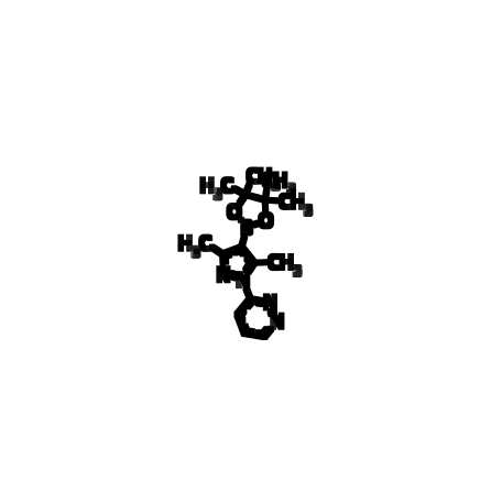 Cc1nn(-c2cccnn2)c(C)c1B1OC(C)(C)C(C)(C)O1